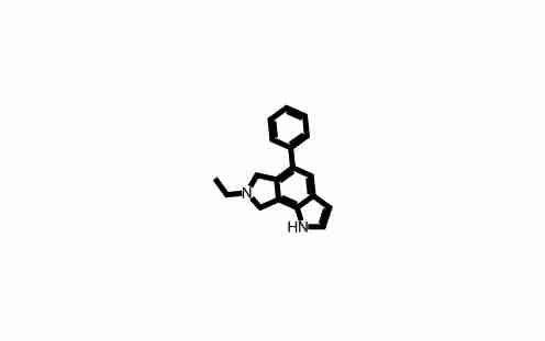 CCN1Cc2c(-c3ccccc3)cc3cc[nH]c3c2C1